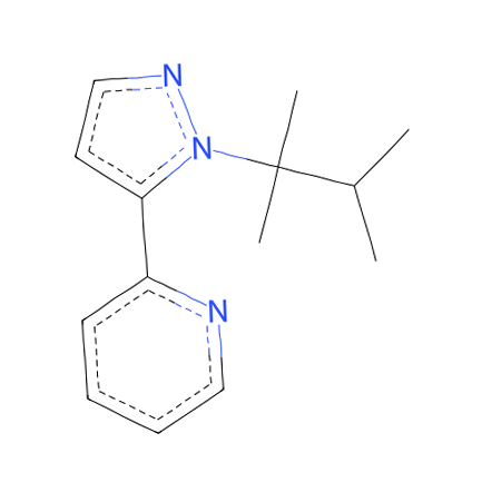 CC(C)C(C)(C)n1nccc1-c1ccccn1